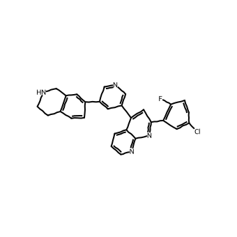 Fc1ccc(Cl)cc1-c1cc(-c2cncc(-c3ccc4c(c3)CNCC4)c2)c2cccnc2n1